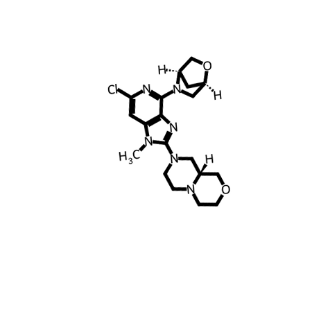 Cn1c(N2CCN3CCOC[C@H]3C2)nc2c(N3C[C@H]4C[C@@H]3CO4)nc(Cl)cc21